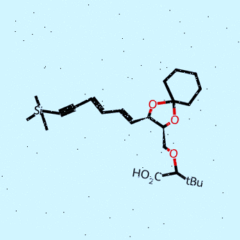 CC(C)(C)C(OC[C@@H]1OC2(CCCCC2)O[C@@H]1C=CC=CC#C[Si](C)(C)C)C(=O)O